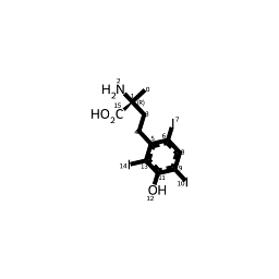 C[C@@](N)(CCc1c(I)cc(I)c(O)c1I)C(=O)O